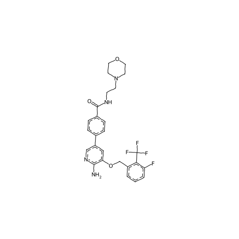 Nc1ncc(-c2ccc(C(=O)NCCN3CCOCC3)cc2)cc1OCc1cccc(F)c1C(F)(F)F